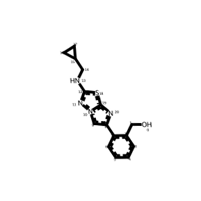 OCc1ccccc1-c1cn2nc(NCC3CC3)sc2n1